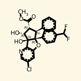 COC(=O)[C@H]1[C@@H](O)[C@@]2(O)c3ncc(Cl)cc3O[C@@]2(c2ccc(C(F)F)cc2)[C@@H]1c1ccccc1